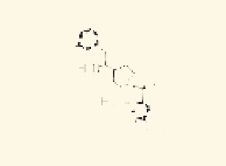 Cn1nc(C(F)(F)F)cc1C(=O)N1CCC(C(N)Cc2cccc(Cl)c2)CC1